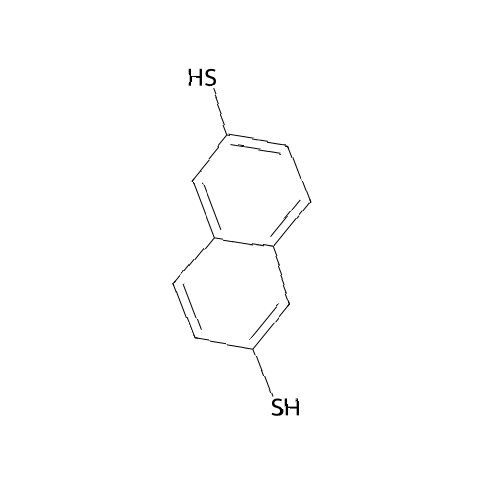 Sc1ccc2cc(S)ccc2c1